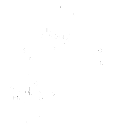 O=S(=O)(Nc1cc(Cl)c(Cl)cc1NS(=O)(=O)c1cccs1)c1ccc(-c2csc(Cc3ccsc3S(=O)(=O)Nc3cc(Cl)c(Cl)cc3NS(=O)(=O)c3ccc(-c4cnco4)cc3)n2)cc1